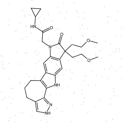 COCCC1(CCOC)C(=O)N(CC(=O)NC2CC2)c2cc3c4c([nH]c3cc21)-c1n[nH]cc1CCC4